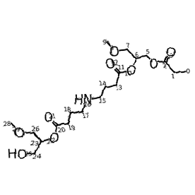 CCC(=O)OCC(COC)OC(=O)CCCNCCCC(=O)OC(CO)COC